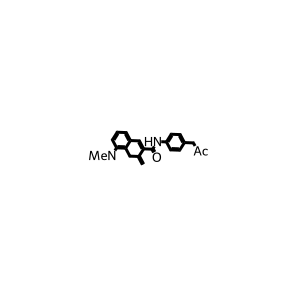 C=C1Cc2c(cccc2NC)C=C1C(=O)Nc1ccc(CC(C)=O)cc1